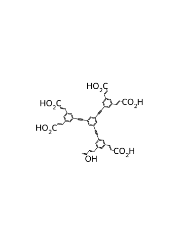 C=C(O)/C=C/c1cc(C#Cc2cc(C#Cc3cc(/C=C/C(=O)O)cc(/C=C/C(=O)O)c3)cc(C#Cc3cc(/C=C/C(=O)O)cc(/C=C/C(=O)O)c3)c2)cc(/C=C/C(=O)O)c1